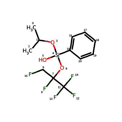 CC(C)O[Si](O)(OC(F)(CF)C(F)(F)F)c1ccccc1